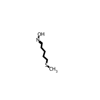 CSCCCCC=NO